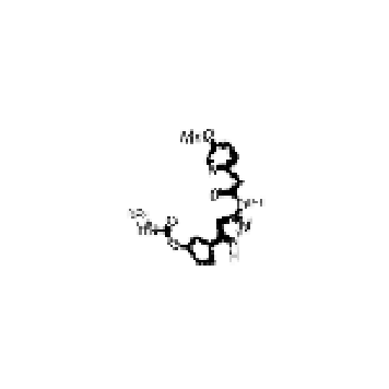 CCCNC(=O)OC1CCC(c2cc(NC(=O)Cc3ccc(OC)cn3)n[nH]2)C1